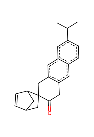 CC(C)c1ccc2cc3c(cc2c1)CC1(CC2C=CC1C2)C(=O)C3